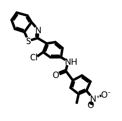 Cc1cc(C(=O)Nc2ccc(-c3nc4ccccc4s3)c(Cl)c2)ccc1[N+](=O)[O-]